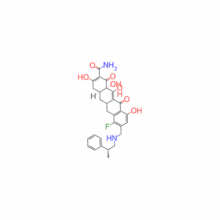 C[C@H](CNCc1cc(O)c2c(c1F)CC1C[C@H]3CC(O)=C(C(N)=O)C(=O)[C@@]3(O)C(O)=C1C2=O)c1ccccc1